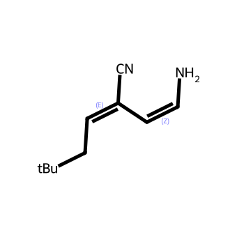 CC(C)(C)C/C=C(C#N)\C=C/N